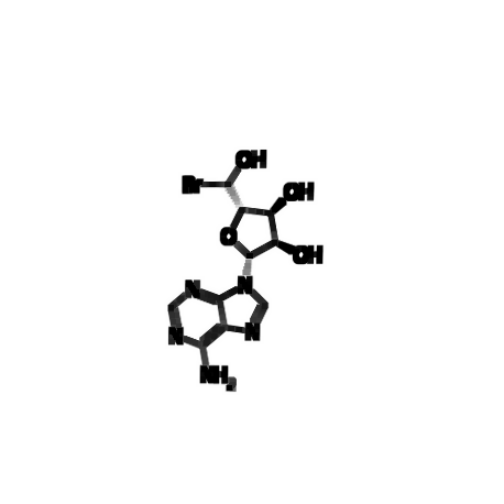 Nc1ncnc2c1ncn2[C@@H]1O[C@H](C(O)Br)[C@@H](O)[C@H]1O